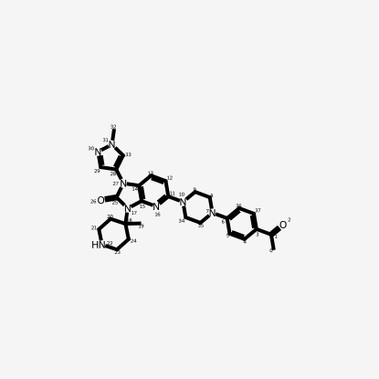 CC(=O)c1ccc(N2CCN(c3ccc4c(n3)n(C3(C)CCNCC3)c(=O)n4-c3cnn(C)c3)CC2)cc1